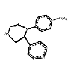 COc1ccc(N2CCNCC2c2ccncc2)cc1